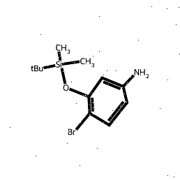 CC(C)(C)[Si](C)(C)Oc1cc(N)ccc1Br